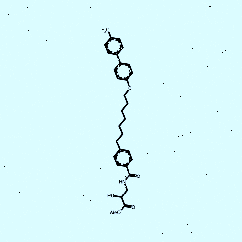 COC(=O)C(O)CNC(=O)c1ccc(CCCCCCCOc2ccc(-c3ccc(C(F)(F)F)cc3)cc2)cc1